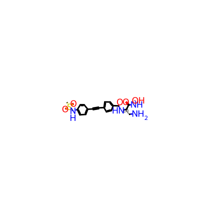 CS(=O)(=O)Nc1ccc(C#Cc2ccc(C(=O)N[C@@H](CN)C(=O)NO)cc2)cc1